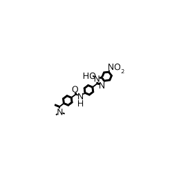 C=C(c1ccc(C(=O)Nc2ccc(-c3nc4ccc([N+](=O)[O-])cc4n3O)cc2)cc1)N(C)C